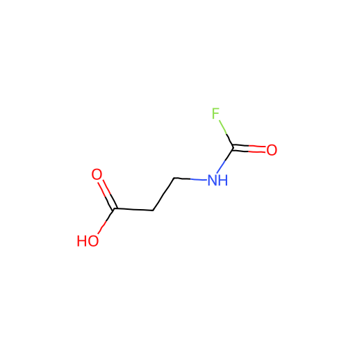 O=C(O)CCNC(=O)F